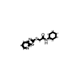 O=C(CSc1nc2cccnc2s1)NC1CCCCC1